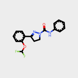 O=C(Nc1ccccc1)N1CCC(c2ccccc2OC(F)F)=N1